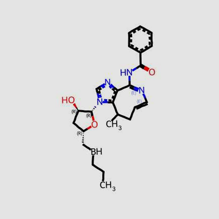 CCCBC[C@@H]1C[C@@H](O)[C@H](n2cnc3c2C(C)C/C=C/N=C\3NC(=O)c2ccccc2)O1